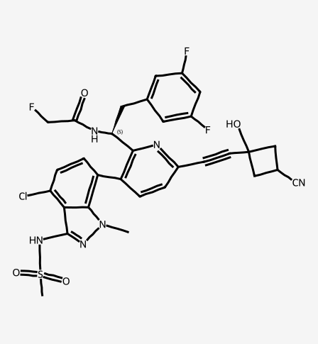 Cn1nc(NS(C)(=O)=O)c2c(Cl)ccc(-c3ccc(C#CC4(O)CC(C#N)C4)nc3[C@H](Cc3cc(F)cc(F)c3)NC(=O)CF)c21